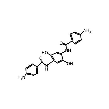 Nc1ccc(C(=O)Nc2cc(O)c(NC(=O)c3ccc(N)cc3)cc2O)cc1